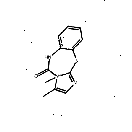 CC1=CN=C2Sc3ccccc3NC(=O)[N+]12C